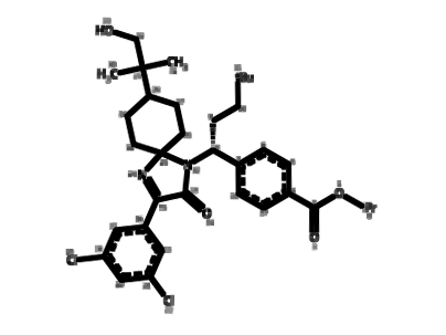 CC(C)OC(=O)c1ccc([C@@H](CCC(C)(C)C)N2C(=O)C(c3cc(Cl)cc(Cl)c3)=NC23CCC(C(C)(C)CO)CC3)cc1